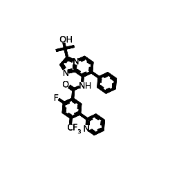 CC(C)(O)c1cnc2c(NC(=O)c3cc(-c4ccccn4)c(C(F)(F)F)cc3F)c(-c3ccccc3)ccn12